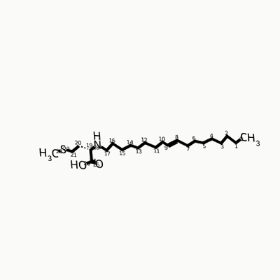 CCCCCCCCC=CCCCCCCCCN[C@@H](CCSC)C(=O)O